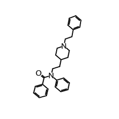 O=C(c1ccccc1)N(CCC1CCN(CCc2ccccc2)CC1)c1ccccc1